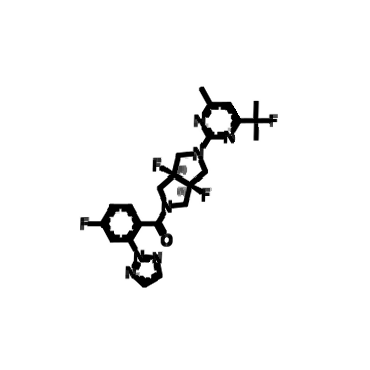 Cc1cc(C(C)(C)F)nc(N2C[C@]3(F)CN(C(=O)c4ccc(F)cc4-n4nccn4)C[C@]3(F)C2)n1